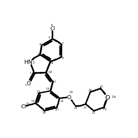 O=C1Nc2cc(Cl)ccc2C1=Cc1cc(Cl)ccc1OCC1CCOCC1